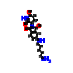 NCCCCCNc1ccc2c(c1)C(=O)N(C1CCC(=O)NC1=O)C2=O